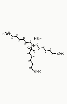 Br.CCCCCCCCCCCCCCCCN(CCCCCCCCCCCCCCCC)C(C)(C)CCCCCCCCCCCCCCC